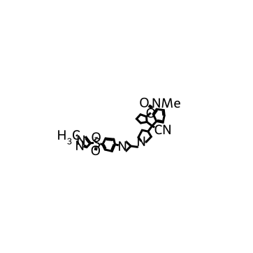 CNC(=O)OC1CCCC1C(C#N)(c1ccccc1)C1CCN(CC2CN(c3ccc(S(=O)(=O)c4cnn(C)c4)cc3)C2)CC1